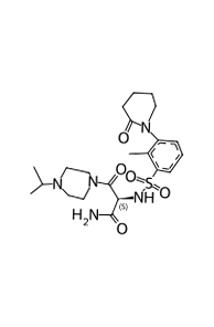 Cc1c(N2CCCCC2=O)cccc1S(=O)(=O)N[C@@H](C(N)=O)C(=O)N1CCN(C(C)C)CC1